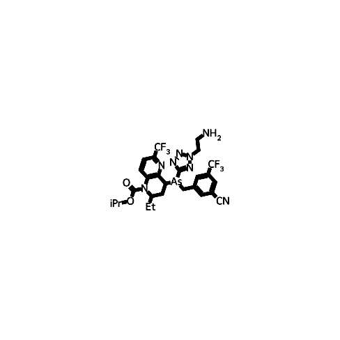 CCC1CC([As](Cc2cc(C#N)cc(C(F)(F)F)c2)c2nnn(CCN)n2)c2nc(C(F)(F)F)ccc2N1C(=O)OC(C)C